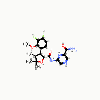 COc1c([C@H]2[C@H](C(=O)Nc3cncc(C(N)=O)n3)OC(C)(C)[C@H]2C)ccc(F)c1F